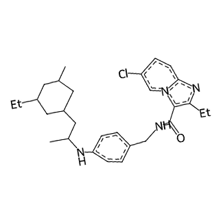 CCc1nc2ccc(Cl)cn2c1C(=O)NCc1ccc(NC(C)CC2CC(C)CC(CC)C2)cc1